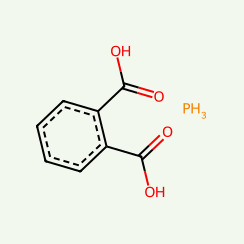 O=C(O)c1ccccc1C(=O)O.P